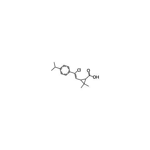 CC(C)c1ccc(C(Cl)=CC2C(C(=O)O)C2(C)C)cc1